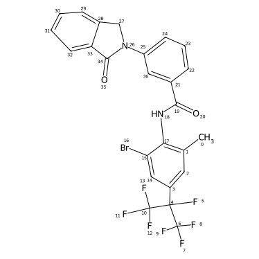 Cc1cc(C(F)(C(F)(F)F)C(F)(F)F)cc(Br)c1NC(=O)c1cccc(N2Cc3ccccc3C2=O)c1